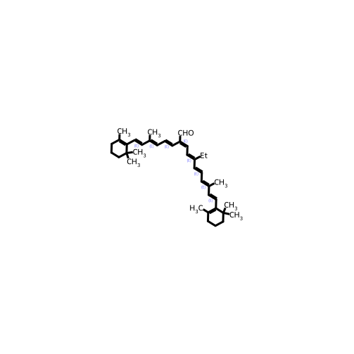 CCC(/C=C/C=C(C)/C=C/C1=C(C)CCCC1(C)C)=C\C=C(C=O)/C=C/C=C(C)/C=C/C1=C(C)CCCC1(C)C